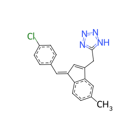 Cc1ccc2c(c1)C(Cc1nnn[nH]1)=CC2=Cc1ccc(Cl)cc1